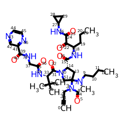 C#CCN(C=O)C1(N(C)CCCC)C[C@@H](C(=O)NC(CCC)C(=O)C(=O)NC2CC2)N(C(=O)[C@@H](NC(=O)CNC(=O)c2cnccn2)C(C)(C)C)C1